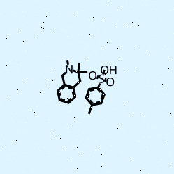 CN1Cc2ccccc2CC1(C)C.Cc1ccc(S(=O)(=O)O)cc1